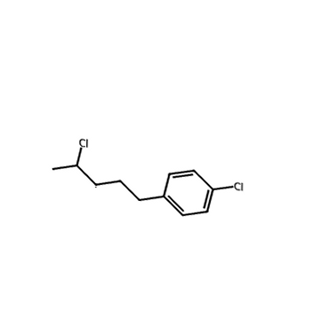 CC(Cl)[CH]CCc1ccc(Cl)cc1